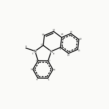 CN1c2ccccc2N2c3ccccc3C=CC12